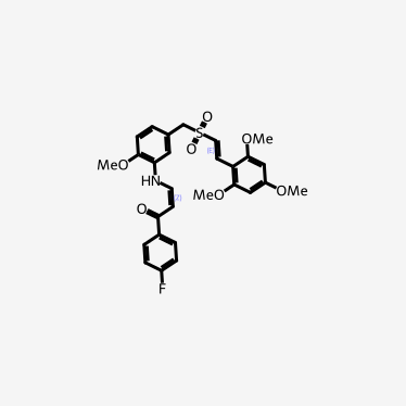 COc1cc(OC)c(/C=C/S(=O)(=O)Cc2ccc(OC)c(N/C=C\C(=O)c3ccc(F)cc3)c2)c(OC)c1